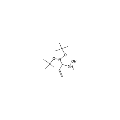 C=CC([SiH2]O)N(OC(C)(C)C)OC(C)(C)C